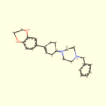 C1=C(c2ccc3c(c2)OCCO3)CCC(N2CCN(Cc3ccccc3)CC2)C1